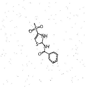 CS(=O)(=O)C1=CSC(NC(=O)c2ccccc2)N1